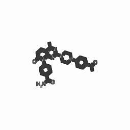 CC(=O)c1ccc(N2CCN(c3nc(C)c4ccc(=O)n(-c5ccc(C(N)=O)cc5)c4n3)CC2)cc1